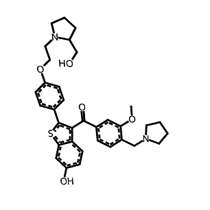 COc1cc(C(=O)c2c(-c3ccc(OCCN4CCCC4CO)cc3)sc3cc(O)ccc23)ccc1CN1CCCC1